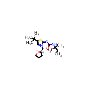 CCC(C)(C)NC(=O)N=c1sc(C(C)(C)C)cn1C[C@H]1CCCO1